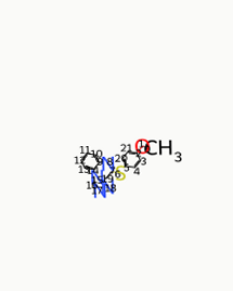 COc1ccc(Sc2nc3ccccc3n3cnnc23)cc1